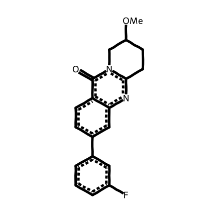 COC1CCc2nc3cc(-c4cccc(F)c4)ccc3c(=O)n2C1